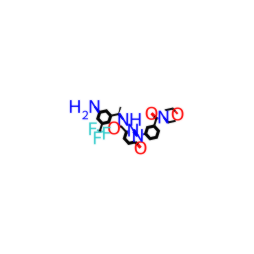 C[C@@H](NC(=O)c1ccc(=O)n(-c2cccc(C(=O)N3CCOCC3)c2)n1)c1cc(N)cc(C(F)(F)F)c1